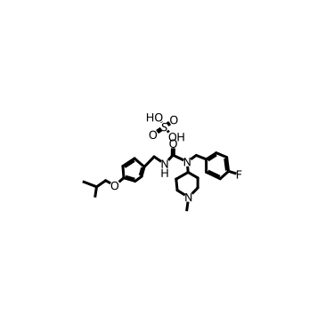 CC(C)COc1ccc(CNC(=O)N(Cc2ccc(F)cc2)C2CCN(C)CC2)cc1.O=S(=O)(O)O